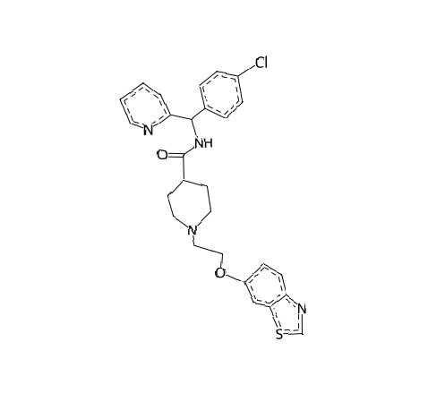 O=C(NC(c1ccc(Cl)cc1)c1ccccn1)C1CCN(CCOc2ccc3ncsc3c2)CC1